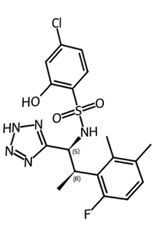 Cc1ccc(F)c([C@@H](C)[C@H](NS(=O)(=O)c2ccc(Cl)cc2O)c2nn[nH]n2)c1C